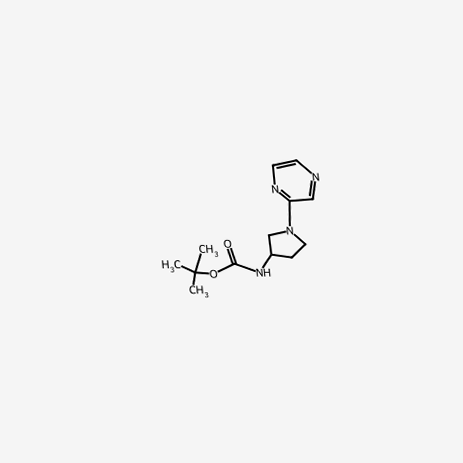 CC(C)(C)OC(=O)NC1CCN(c2cnccn2)C1